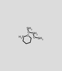 C1CC[SiH2]OC1.[SiH3]O[SiH2]O[SiH3]